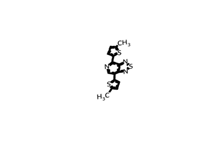 Cc1ccc(-c2cnc(-c3ccc(C)s3)c3nsnc23)s1